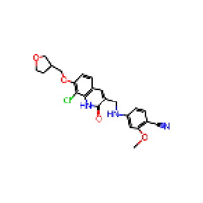 COc1cc(NCc2cc3ccc(OCC4CCOC4)c(Cl)c3[nH]c2=O)ccc1C#N